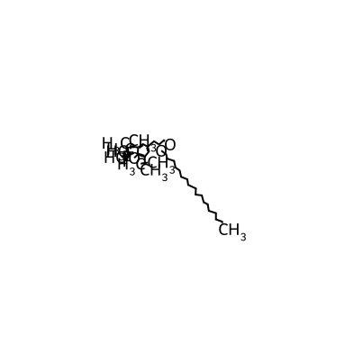 CCCCCCCCCCCCCCCCCCOC(C=O)Cc1cc(C(C)(C)C)c(OP(O)(O)(F)F)c(C(C)(C)C)c1